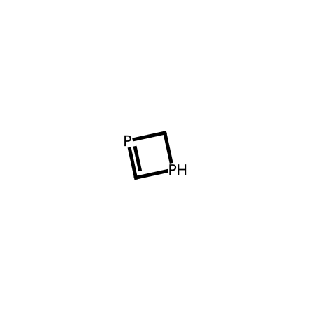 C1=PCP1